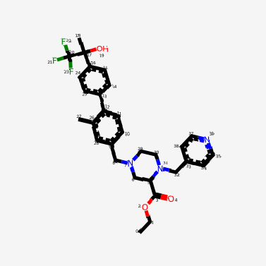 CCOC(=O)C1CN(Cc2ccc(-c3ccc(C(C)(O)C(F)(F)F)cc3)c(C)c2)CCN1Cc1ccncc1